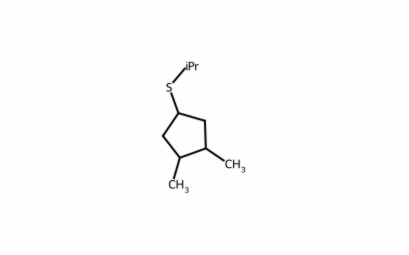 CC(C)SC1CC(C)C(C)C1